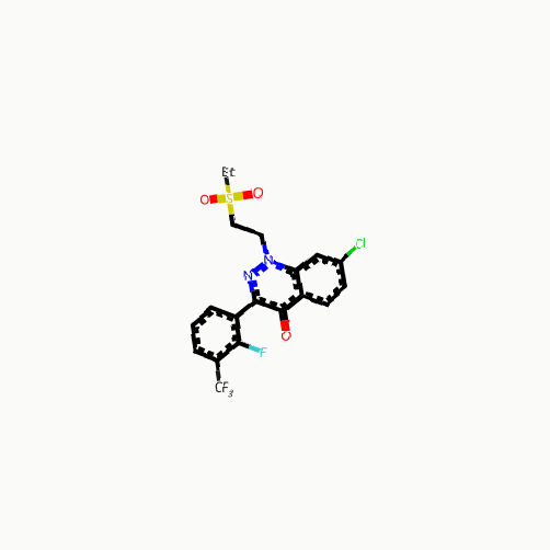 CCS(=O)(=O)CCn1nc(-c2cccc(C(F)(F)F)c2F)c(=O)c2ccc(Cl)cc21